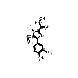 CS(=O)(=O)O.Cc1ccc(-c2cn(C)c(C(=N)NO)n2)cc1C